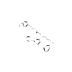 Cc1cc(N(CCCN(C)c2ccccc2)CC(=O)NCCc2ccc3c(c2)OCO3)nc(-n2ccnc2)n1